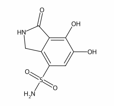 NS(=O)(=O)c1cc(O)c(O)c2c1CNC2=O